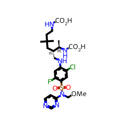 COCN(c1ccncn1)S(=O)(=O)c1cc(Cl)c(NC[C@H](CC(C)(C)CCNC(=O)O)[C@@H](C)NC(=O)O)cc1F